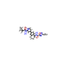 CC(C)(C)c1noc(C(=O)N[C@H]2CCCCc3cc(-c4ccnc(NC(=O)[C@H]5CC56CCC6)c4)ccc32)n1